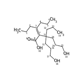 CCCC(CCC)=C(C(=O)O)C(CCC)(CCCO)CCCO